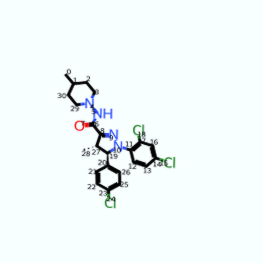 CC1CCN(NC(=O)C2=NN(c3ccc(Cl)cc3Cl)[C@@H](c3ccc(Cl)cc3)[C@@H]2C)CC1